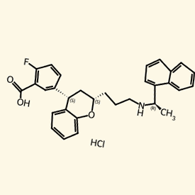 C[C@@H](NCCC[C@H]1C[C@@H](c2ccc(F)c(C(=O)O)c2)c2ccccc2O1)c1cccc2ccccc12.Cl